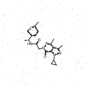 Cc1ccc([C@H](C)NC(=O)Cn2nc(C)c3c(C)nn(C4CC4)c3c2=O)cc1